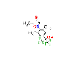 CCON(C=C=O)c1c(C)cc(C(O)(C(F)(F)F)C(F)(F)F)cc1C